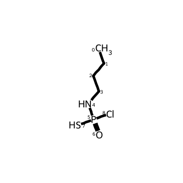 CCCCNP(=O)(S)Cl